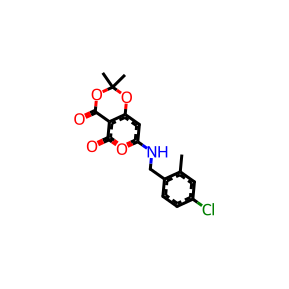 Cc1cc(Cl)ccc1CNc1cc2c(c(=O)o1)C(=O)OC(C)(C)O2